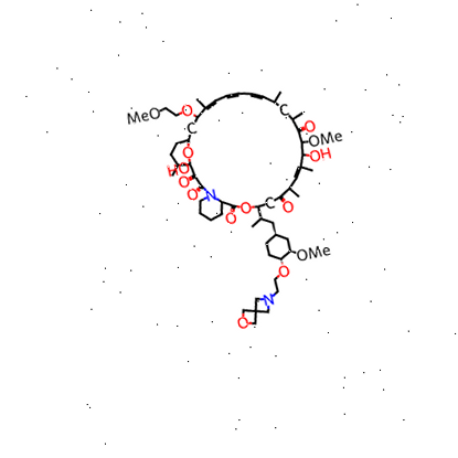 COCCOC1CC2CCC(C)C(O)(O2)C(=O)C(=O)N2CCCCC2C(=O)OC(C(C)C[C@@H]2CC[C@@H](OCCN3CC4(COC4)C3)[C@H](OC)C2)CC(=O)C(C)C=C(C)C(O)C(OC)C(=O)C(C)CC(C)C=CC=CC=C1C